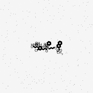 COC(=O)c1cc2ccccc2cc1OCCCCNC(=O)C(Cc1ccc(C2CC(=O)NS2(O)O)c(Cl)c1)NS(=O)(=O)c1ccccc1